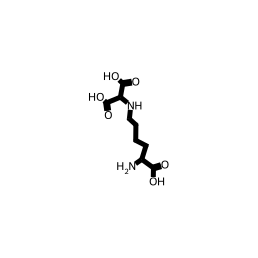 NC(CCCCNC(C(=O)O)C(=O)O)C(=O)O